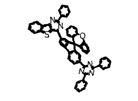 c1ccc(-c2nc(-c3ccccc3)nc(-c3ccc4c(c3)C3(c5ccccc5Oc5ccccc53)c3cc(-c5nc(-c6ccccc6)nc6c5sc5ccccc56)ccc3-4)n2)cc1